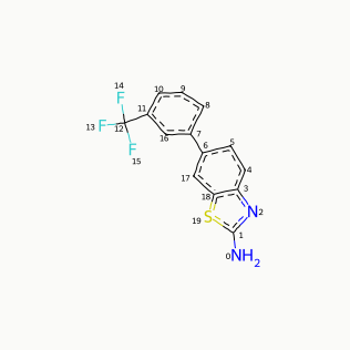 Nc1nc2ccc(-c3cccc(C(F)(F)F)c3)cc2s1